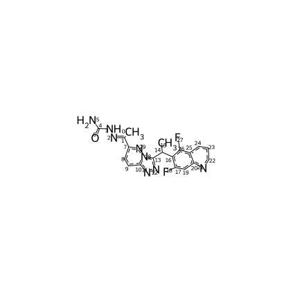 CC(=NNC(N)=O)c1ccc2nnc(C(C)c3c(F)cc4ncccc4c3F)n2n1